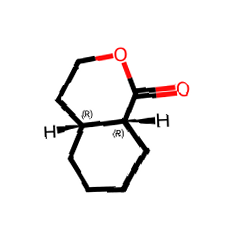 O=C1OCC[C@H]2CCCC[C@@H]12